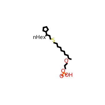 CCCCCCC(CCSCCCCCCCCC(C)OCCCO[P](=O)O)C1CCCC1